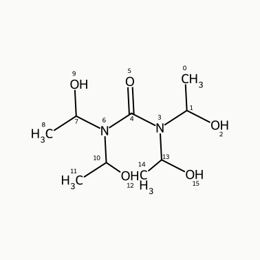 CC(O)N(C(=O)N(C(C)O)C(C)O)C(C)O